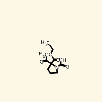 CCOC(=O)C1(C(C)=O)CCCN1C(=O)O